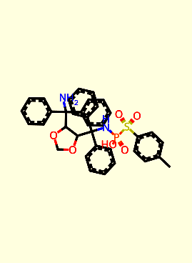 Cc1ccc(S(=O)(=O)P(=O)(O)NC(c2ccccc2)(c2ccccc2)C2OCOC2C(N)(c2ccccc2)c2ccccc2)cc1